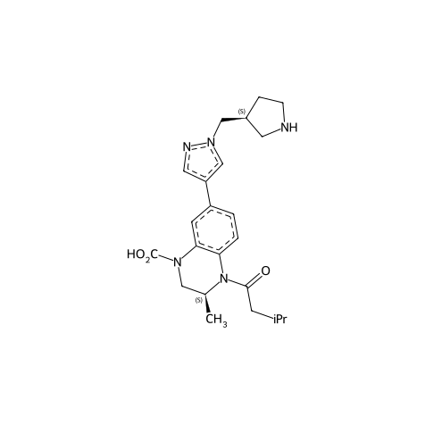 CC(C)CC(=O)N1c2ccc(-c3cnn(C[C@H]4CCNC4)c3)cc2N(C(=O)O)C[C@@H]1C